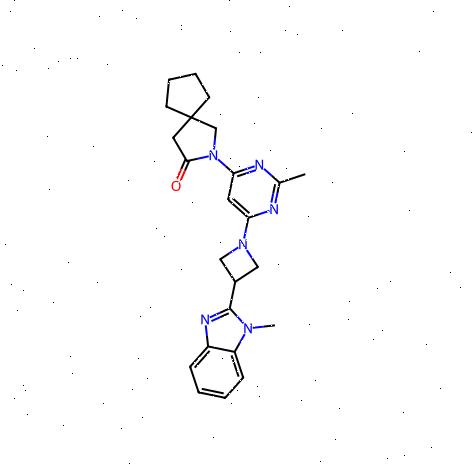 Cc1nc(N2CC(c3nc4ccccc4n3C)C2)cc(N2CC3(CCCC3)CC2=O)n1